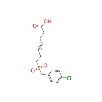 O=C(O)CC/C=C/CCS(=O)(=O)Cc1ccc(Cl)cc1